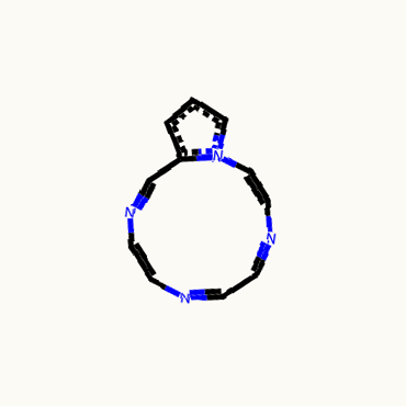 C1=CN=Cc2cccn2C=CN=CC=N1